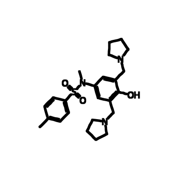 Cc1ccc(S(=O)(=O)N(C)c2cc(CN3CCCC3)c(O)c(CN3CCCC3)c2)cc1